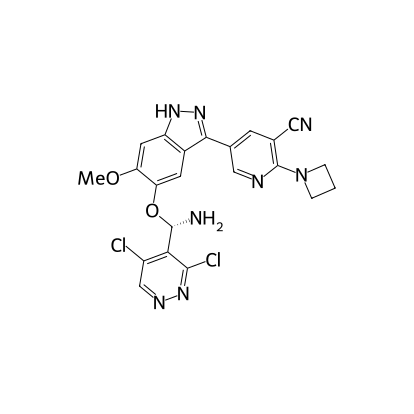 COc1cc2[nH]nc(-c3cnc(N4CCC4)c(C#N)c3)c2cc1O[C@H](N)c1c(Cl)cnnc1Cl